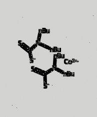 CCCCN(CCCC)C(=S)[S-].CCCCN(CCCC)C(=S)[S-].[Co+2]